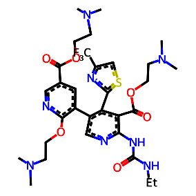 CCNC(=O)Nc1ncc(-c2cc(C(=O)OCCN(C)C)cnc2OCCN(C)C)c(-c2nc(C(F)(F)F)cs2)c1C(=O)OCCN(C)C